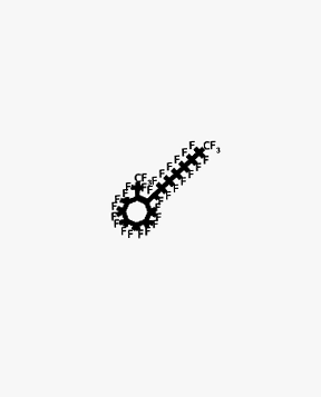 FC(F)(F)C(F)(F)C1=C(C(F)(F)C(F)(F)C(F)(F)C(F)(F)C(F)(F)C(F)(F)C(F)(F)C(F)(F)F)C(F)(F)C(F)(F)C(F)(F)C(F)(F)C(F)(F)C1(F)F